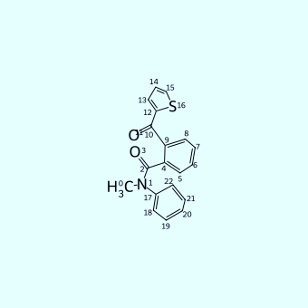 CN(C(=O)c1ccccc1C(=O)c1cccs1)c1ccccc1